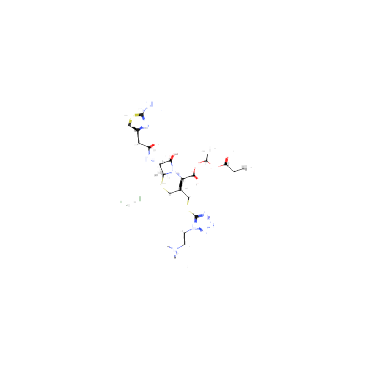 CC(C)CC(=O)OC(OC(=O)C1=C(CSc2nnnn2CCN(C)C)CS[C@H]2[C@@H](NC(=O)Cc3csc(N)n3)C(=O)N12)C(C)C.Cl.Cl